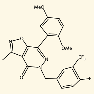 COc1ccc(OC)c(-c2nn(Cc3ccc(F)c(C(F)(F)F)c3)c(=O)c3c(C)noc23)c1